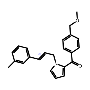 COCc1ccc(C(=O)c2cccn2C/C=C/c2cccc(C)c2)cc1